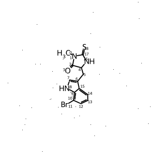 CN1C(=O)C(Cc2c[nH]c3c(Br)cccc23)NC1=S